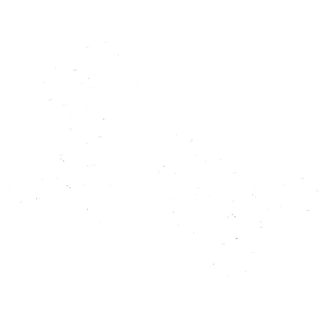 c1ccc(-c2nc(-c3cccc(-c4ccc5c(c4)-c4ccccc4C54c5ccccc5-c5ccc(-c6nc(-c7ccccc7)nc(-c7ccccc7)n6)cc54)c3)nc(-c3ccc4c(c3)-c3ccccc3C43c4ccccc4-c4ccccc43)n2)cc1